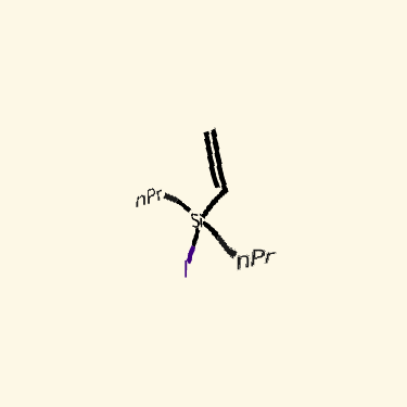 C=C[Si](I)(CCC)CCC